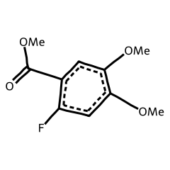 COC(=O)c1cc(OC)c(OC)cc1F